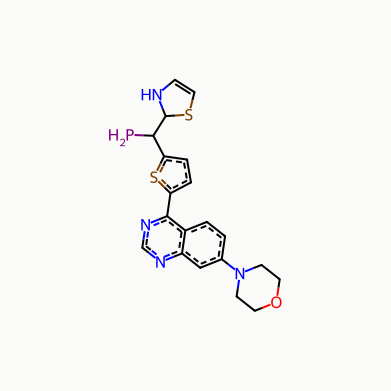 PC(c1ccc(-c2ncnc3cc(N4CCOCC4)ccc23)s1)C1NC=CS1